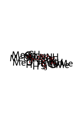 COC[C@H]1C[C@@H](C(=O)Nc2ccc([C@@H]3CC[C@@H](c4ccc(NC(=O)[C@@H]5CCCN5C(=O)[C@@H](NC(=O)OC)[C@@H](C)OC)cc4)N3c3cc(F)c(N4CC[Si]5(CCCC5)CC4)c(F)c3)cc2)N(C(=O)[C@@H](NC(=O)OC)[C@@H](C)OC)C1